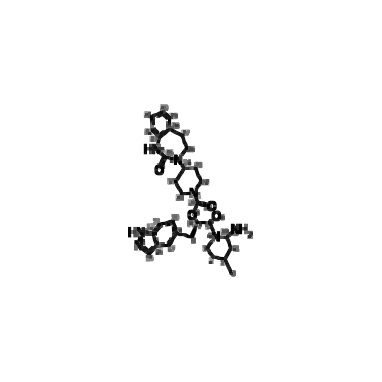 CC1CCN(C(=O)[C@@H](Cc2ccc3[nH]ncc3c2)OC(=O)N2CCC(N3CCc4ccccc4NC3=O)CC2)C(N)C1